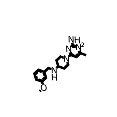 COc1cccc(CNC2CCN(c3cc(C)nc(N)n3)CC2)c1